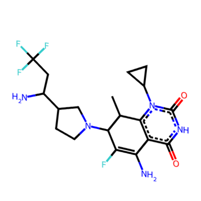 CC1c2c(c(=O)[nH]c(=O)n2C2CC2)C(N)=C(F)C1N1CCC(C(N)CC(F)(F)F)C1